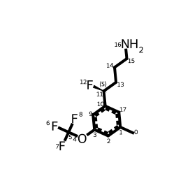 Cc1cc(OC(F)(F)F)cc([C@@H](F)CCCN)c1